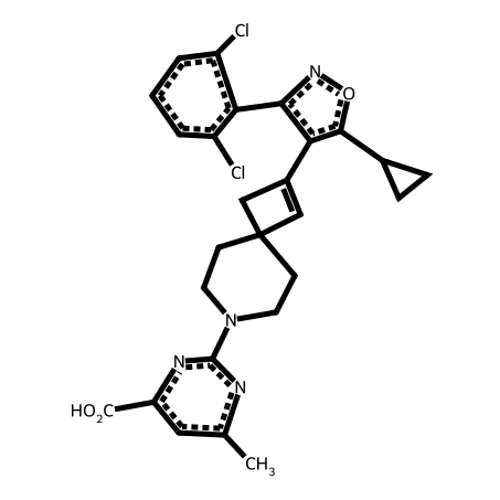 Cc1cc(C(=O)O)nc(N2CCC3(C=C(c4c(-c5c(Cl)cccc5Cl)noc4C4CC4)C3)CC2)n1